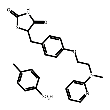 CN(CCOc1ccc(CC2SC(=O)NC2=O)cc1)c1ccccn1.Cc1ccc(S(=O)(=O)O)cc1